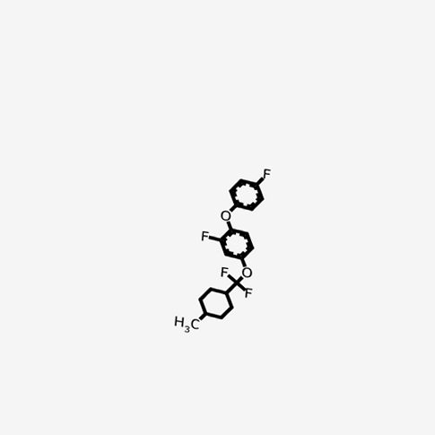 CC1CCC(C(F)(F)Oc2ccc(Oc3ccc(F)cc3)c(F)c2)CC1